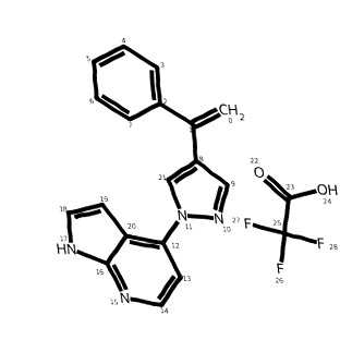 C=C(c1ccccc1)c1cnn(-c2ccnc3[nH]ccc23)c1.O=C(O)C(F)(F)F